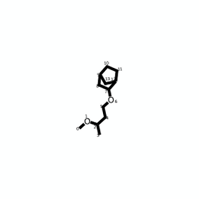 COC(C)CCOC1CC2CCC1C2